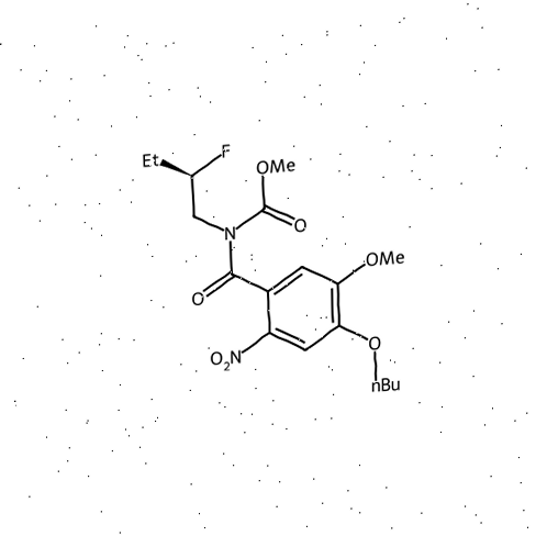 CCCCOc1cc([N+](=O)[O-])c(C(=O)N(C[C@H](F)CC)C(=O)OC)cc1OC